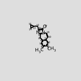 Cc1cc2c(cc1C)Cc1nn(CC3CC3)c(=O)n1C=C2